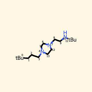 CC(C)(C)CCCN1CCN(CCNC(C)(C)C)CC1